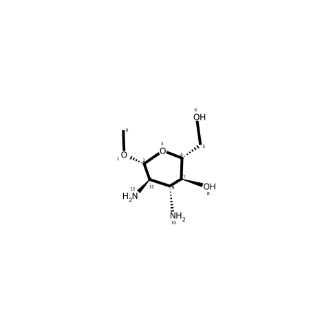 CO[C@@H]1O[C@H](CO)[C@@H](O)[C@H](N)[C@H]1N